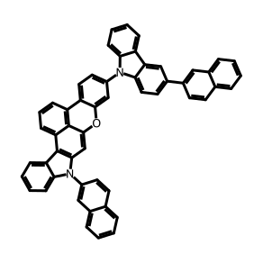 c1ccc2cc(-c3ccc4c(c3)c3ccccc3n4-c3ccc4c(c3)Oc3cc5c(c6cccc-4c36)c3ccccc3n5-c3ccc4ccccc4c3)ccc2c1